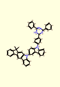 CC1(C)c2ccccc2-c2cc3c4ccccc4n(-c4ccc5c(c4)c4ccccc4n5-c4ccc(C5N=C(c6ccccc6)NC(c6ccccc6)N5)cc4)c3cc21